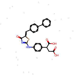 O=C(O)CC(C(=O)O)c1ccc(NC2=NC(=O)C(=Cc3ccc(-c4ccccc4)cc3)S2)cc1